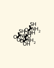 NC(CC(=O)O)C(=O)O.NC(CS)C(=O)O.NC(CS)C(=O)O